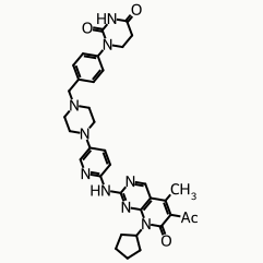 CC(=O)c1c(C)c2cnc(Nc3ccc(N4CCN(Cc5ccc(N6CCC(=O)NC6=O)cc5)CC4)cn3)nc2n(C2CCCC2)c1=O